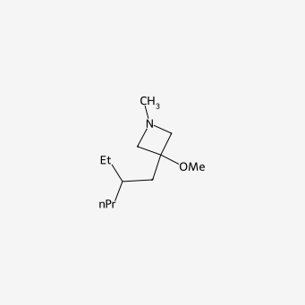 CCCC(CC)CC1(OC)CN(C)C1